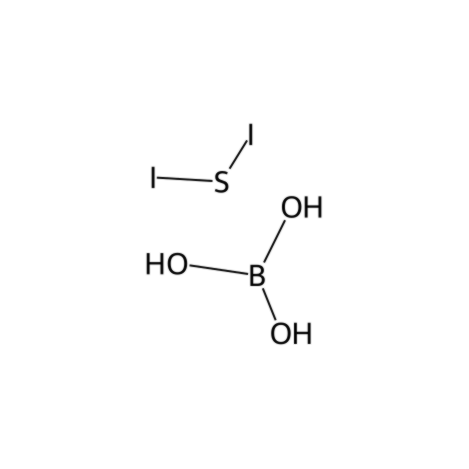 ISI.OB(O)O